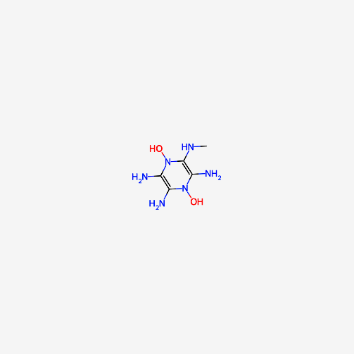 CNC1=C(N)N(O)C(N)=C(N)N1O